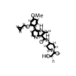 COc1ccc(-c2ccnc3c(C(=O)NC4CCN(C(=O)[C@H](C)O)CC4)c(C)[nH]c23)c(OCC2CC2)c1